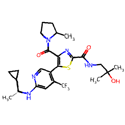 CC1CCCN1C(=O)c1nc(C(=O)NCC(C)(C)O)sc1-c1cnc(N[C@H](C)C2CC2)cc1C(F)(F)F